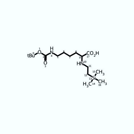 CC(C)(C)OC(=O)NCCCCC(NCC[Si](C)(C)C)C(=O)O